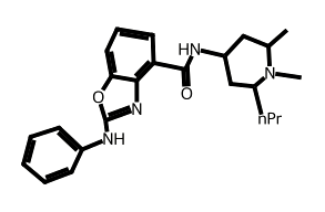 CCCC1CC(NC(=O)c2cccc3oc(Nc4ccccc4)nc23)CC(C)N1C